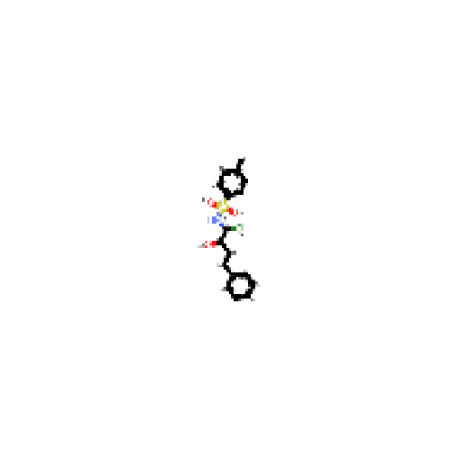 Cc1ccc(S(=O)(=O)NC(Cl)C(=O)CCc2ccccc2)cc1